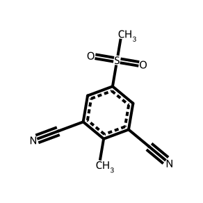 Cc1c(C#N)cc(S(C)(=O)=O)cc1C#N